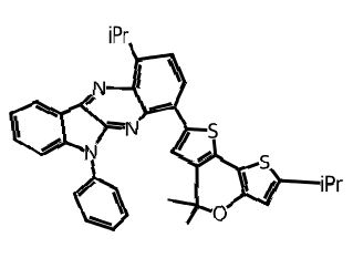 CC(C)c1cc2c(s1)-c1sc(-c3ccc(C(C)C)c4nc5c6ccccc6n(-c6ccccc6)c5nc34)cc1C(C)(C)O2